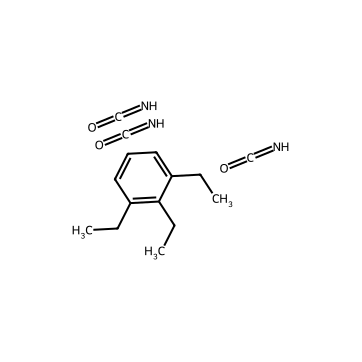 CCc1cccc(CC)c1CC.N=C=O.N=C=O.N=C=O